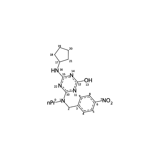 CCCN(Cc1ccc([N+](=O)[O-])cc1)c1nc(O)nc(NC2CCCC2)n1